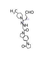 CC1CCN(C(/C=C\CC=O)=N/NCC(=O)N2CCc3cc(N4CCCC4=O)ccc32)CC1